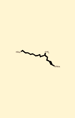 [CH2]CCCCCC#CCCC(C)CCCCCCCCCCCCCCCCC[CH2]